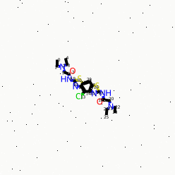 CCN(CC)CC(=O)Nc1nc2c(Cl)c3nc(NC(=O)CN(CC)CC)sc3cc2s1